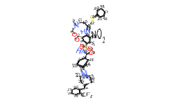 CN1CCOC(=O)c2cc(S(=O)(=O)NC(=O)c3ccc(N4CCC(=Cc5ccccc5C(F)(F)F)CC4)cc3)cc([N+](=O)[O-])c2N[C@@H](CSc2ccccc2)CC1